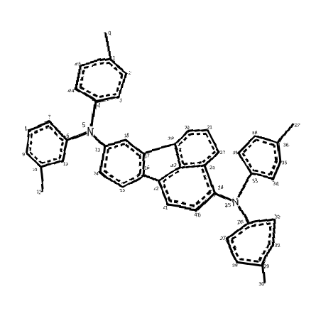 Cc1ccc(N(c2cccc(C)c2)c2ccc3c(c2)-c2cccc4c(N(c5ccc(C)cc5)c5ccc(C)cc5)ccc-3c24)cc1